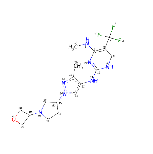 CNC1=C(C(F)(F)F)CNC(Nc2cn([C@@H]3CCN(C4COC4)C3)nc2C)=N1